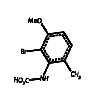 COc1ccc(C)c(NC(=O)O)c1Br